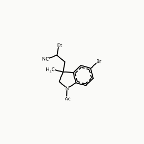 CCC(C#N)CC1(C)CN(C(C)=O)c2ccc(Br)cc21